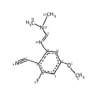 COc1cc(F)c(C#N)c(/N=C/N(C)C)c1